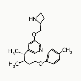 Cc1ccc(OCC[C@@H](C)[C@H](C)c2cncc(OC[C@@H]3CCN3)c2)cc1